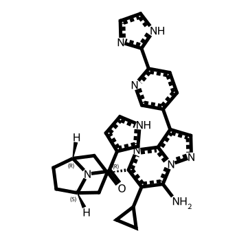 Nc1c(C2CC2)c([C@H]2C[C@H]3CC[C@@H](C2)N3C(=O)c2cc[nH]c2)nc2c(-c3ccc(-c4ncc[nH]4)nc3)cnn12